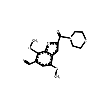 COc1cc(C=O)c(OC)c2oc(C(=O)N3CCOCC3)cc12